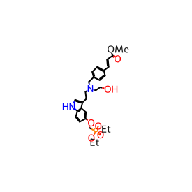 CCOP(=O)(COc1ccc2[nH]cc(CCN(CCO)Cc3ccc(/C=C/C(=O)OC)cc3)c2c1)OCC